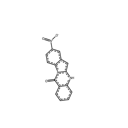 O=c1c2ccccc2[nH]c2cc3cc([N+](=O)[O-])ccc3n12